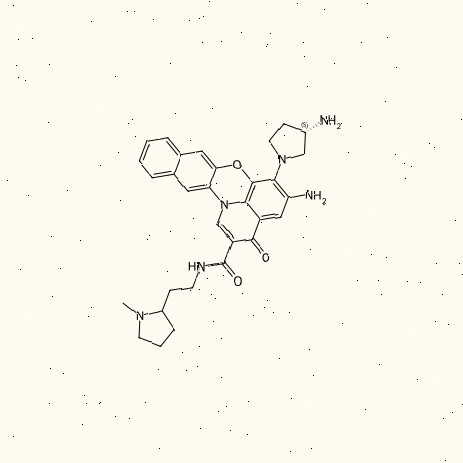 CN1CCCC1CCNC(=O)c1cn2c3c(c(N4CC[C@H](N)C4)c(N)cc3c1=O)Oc1cc3ccccc3cc1-2